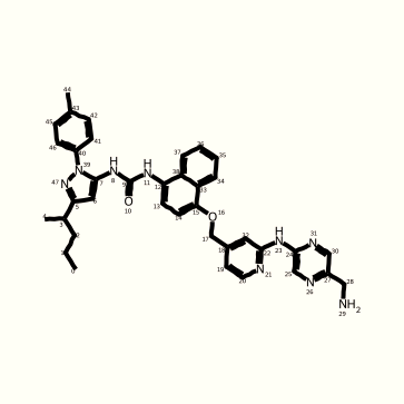 CCCC(C)c1cc(NC(=O)Nc2ccc(OCc3ccnc(Nc4cnc(CN)cn4)c3)c3ccccc23)n(-c2ccc(C)cc2)n1